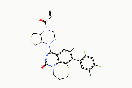 C=CC(=O)N1CCN(c2nc(=O)n3c4c(c(-c5cc(Cl)c(F)cc5F)c(C(F)(F)F)cc24)SCCC3)C2CSCC21